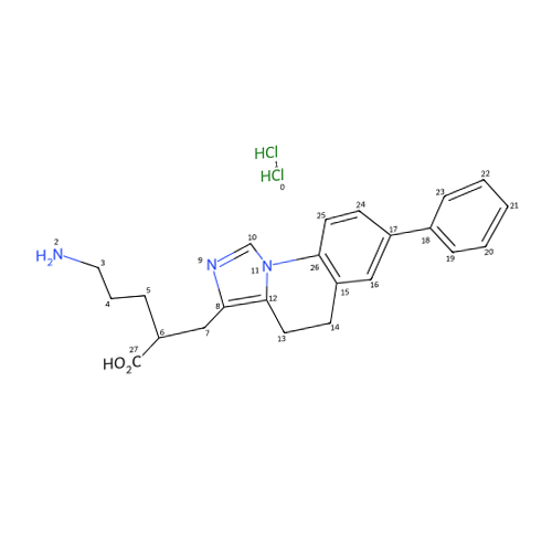 Cl.Cl.NCCCC(Cc1ncn2c1CCc1cc(-c3ccccc3)ccc1-2)C(=O)O